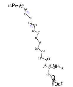 CCCCC/C=C/C/C=C/CCCCCCCCCC(N)COCCCCCCCC